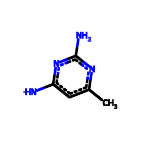 Cc1cc([NH])nc(N)n1